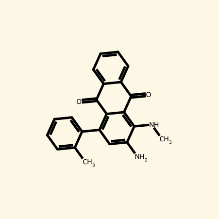 CNc1c(N)cc(-c2ccccc2C)c2c1C(=O)c1ccccc1C2=O